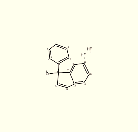 F.F.[Zr][C]1(c2ccccc2)C=Cc2ccccc21